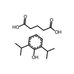 CC(C)c1cccc(C(C)C)c1O.O=C(O)CCCC(=O)O